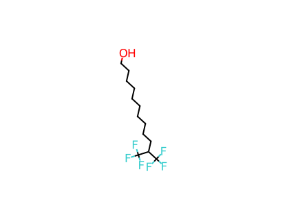 OCCCCCCCCCCC(C(F)(F)F)C(F)(F)F